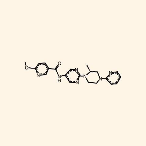 COc1ccc(C(=O)Nc2cnc(N3CCN(c4ccccn4)C[C@@H]3C)nc2)cn1